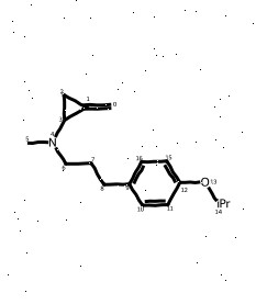 C=C1CC1N(C)CCCc1ccc(OC(C)C)cc1